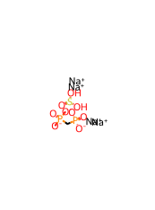 O=P([O-])([O-])CP(=O)([O-])[O-].O=S(O)O.[Na+].[Na+].[Na+].[Na+]